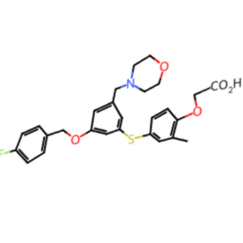 Cc1cc(Sc2cc(CN3CCOCC3)cc(OCc3ccc(F)cc3)c2)ccc1OCC(=O)O